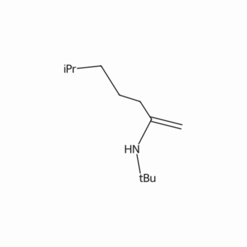 C=C(CCCC(C)C)NC(C)(C)C